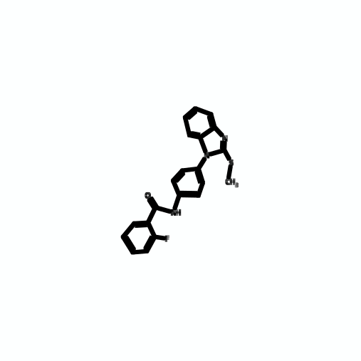 CSc1nc2ccccc2n1-c1ccc(NC(=O)c2ccccc2F)cc1